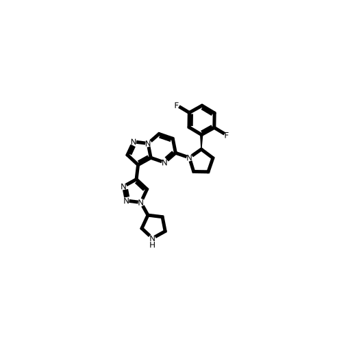 Fc1ccc(F)c([C@H]2CCCN2c2ccn3ncc(-c4cn(C5CCNC5)nn4)c3n2)c1